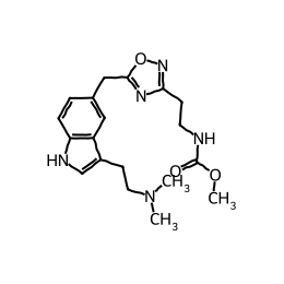 COC(=O)NCCc1noc(Cc2ccc3[nH]cc(CCN(C)C)c3c2)n1